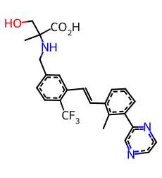 Cc1c(/C=C/c2cc(CNC(C)(CO)C(=O)O)ccc2C(F)(F)F)cccc1-c1cnccn1